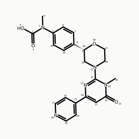 CN(C(=O)O)c1ccc([C@H]2CN(c3nc(-c4ccncc4)cc(=O)n3C)CCO2)cc1